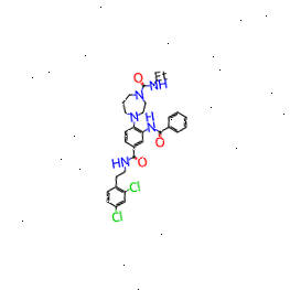 CCNC(=O)N1CCCN(c2ccc(C(=O)NCCc3ccc(Cl)cc3Cl)cc2NC(=O)c2ccccc2)CC1